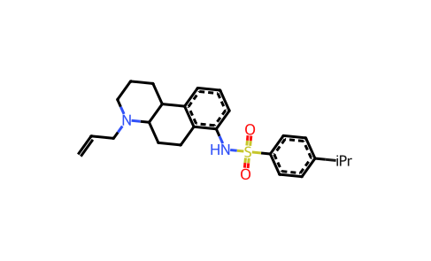 C=CCN1CCCC2c3cccc(NS(=O)(=O)c4ccc(C(C)C)cc4)c3CCC21